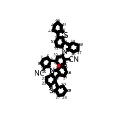 N#Cc1ccc(-c2cccc(C#N)c2-n2c3ccccc3c3c4c(ccc32)sc2ccccc24)cc1-n1c2ccccc2c2c3sc4ccccc4c3ccc21